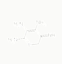 N=C1CP=C(N)C(N)=C1N